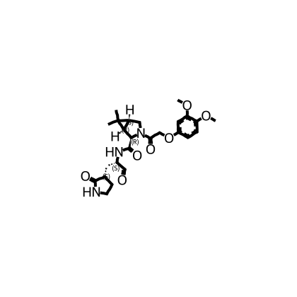 COc1ccc(OCC(=O)N2C[C@H]3[C@@H]([C@@H]2C(=O)N[C@H](C=O)C[C@@H]2CCNC2=O)C3(C)C)cc1OC